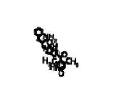 Cc1cc(=O)[nH]c(C)c1C(=O)N1CC2CN(CC([CH]c3ccccc3)C(N)=O)C[C@H]2C1